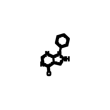 O=c1ncnc2n(-c3ccccc3)[nH]cc1-2